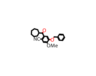 COc1cc(C#N)c(C(=O)C2CCCCCC2)cc1OCc1ccccc1